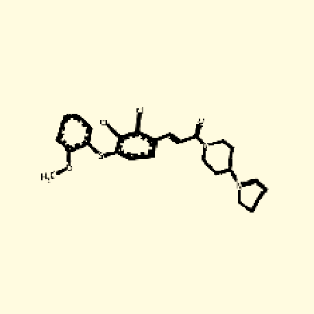 COc1ccccc1Sc1ccc(C=CC(=O)N2CCC(N3CCCC3)CC2)c(Cl)c1Cl